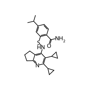 CC(C)c1ccc(C(N)=O)c(SNc2c3c(nc(C4CC4)c2C2CC2)CCC3)c1